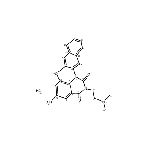 CN(C)CCn1c(=O)c2cc([N+](=O)[O-])cc3c2n(c1=O)-c1cc2ccccc2cc1O3.Cl